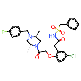 C[C@@H]1CN(Cc2ccc(F)cc2)[C@@H](C)CN1C(=O)COc1ccc(Cl)cc1CC(=O)NS(=O)(=O)Cc1ccccc1